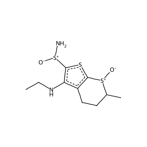 CCNc1c([S+](N)[O-])sc2c1CCC(C)[S+]2[O-]